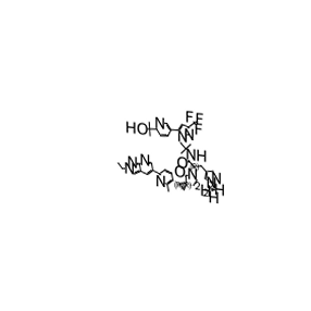 [2H]C([2H])([2H])n1cc(C[C@H](C(=O)NC(C)(C)Cn2nc(C(F)(F)F)cc2-c2ccc(C(C)(C)O)nc2)N2CC[C@@]3(C[C@@H]3c3ccc(-c4cnc5nn(CC)cc5c4)nc3C)C2=O)cn1